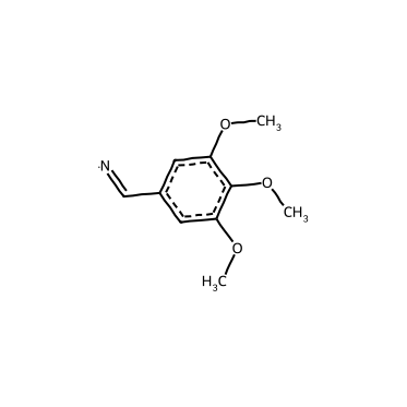 COc1cc(C=[N])cc(OC)c1OC